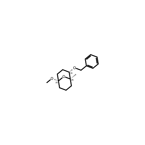 CO[C@@]12CCC[C@@](C)(O1)[C@@H](OCc1ccccc1)CC2